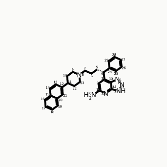 Nc1cc([C@H](CCCN2CCC(c3ccc4ccccc4c3)CC2)c2ccccc2)c2nn[nH]c2n1